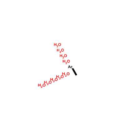 CC(C)=O.O.O.O.O.O.O.O.O.O